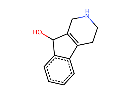 OC1C2=C(CCNC2)c2ccccc21